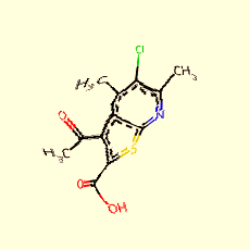 CC(=O)c1c(C(=O)O)sc2nc(C)c(Cl)c(C)c12